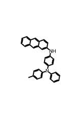 Cc1ccc(N(c2ccccc2)c2ccc(Nc3ccc4cc5ccccc5cc4c3)cc2)cc1